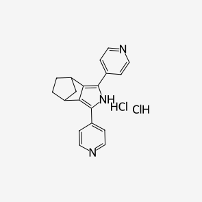 Cl.Cl.c1cc(-c2[nH]c(-c3ccncc3)c3c2C2CCC3C2)ccn1